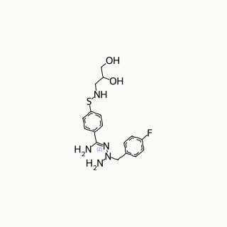 N/C(=N\N(N)Cc1ccc(F)cc1)c1ccc(SNCC(O)CO)cc1